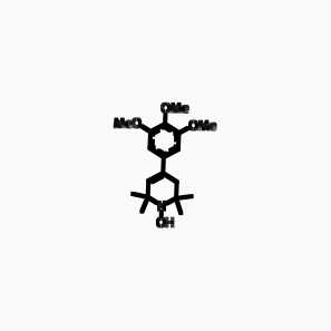 COc1cc(C2=CC(C)(C)N(O)C(C)(C)C2)cc(OC)c1OC